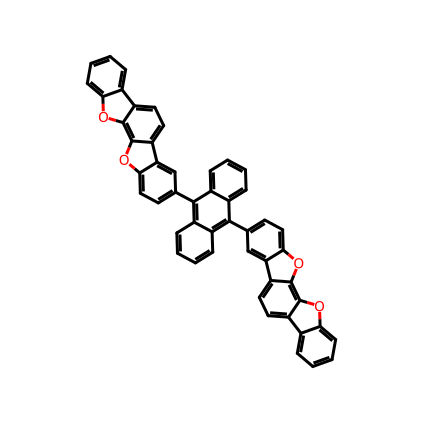 c1ccc2c(c1)oc1c2ccc2c3cc(-c4c5ccccc5c(-c5ccc6oc7c(ccc8c9ccccc9oc87)c6c5)c5ccccc45)ccc3oc21